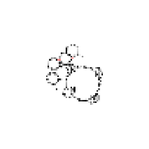 Cc1ccccc1-c1c(-c2ccccc2C)c2c(-c3ccccc3C)c3nc(cc4ccc(cc5nc(cc1n2-c1ccccc1C)C=C5)[nH]4)C=C3